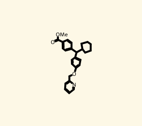 COC(=O)c1ccc(C(c2ccc(OCc3ccccn3)cc2)C2CCCCC2)cc1